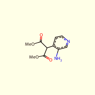 COC(=O)C(C(=O)OC)c1ccncc1N